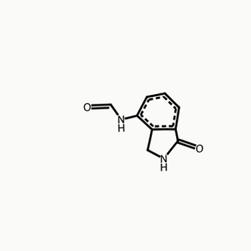 O=CNc1cccc2c1CNC2=O